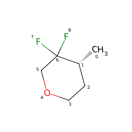 C[C@@H]1CCOCC1(F)F